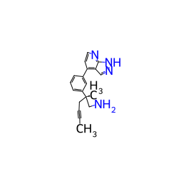 CC#CC[C@@](C)(CN)c1cccc(-c2ccnc3[nH]ncc23)c1